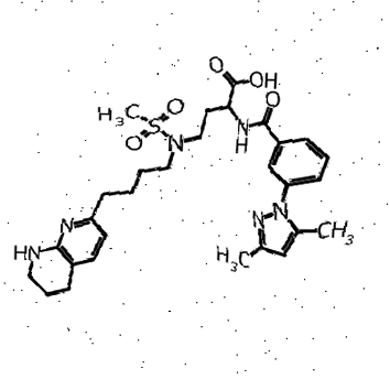 Cc1cc(C)n(-c2cccc(C(=O)NC(CCN(CCCCc3ccc4c(n3)NCCC4)S(C)(=O)=O)C(=O)O)c2)n1